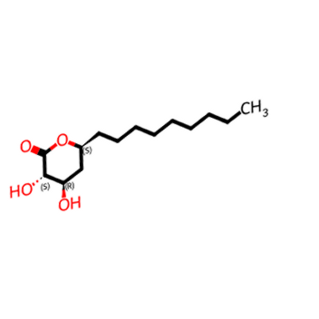 CCCCCCCCC[C@H]1C[C@@H](O)[C@H](O)C(=O)O1